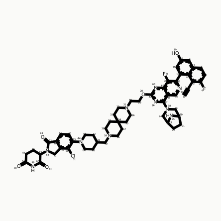 C#Cc1c(F)ccc2cc(O)cc(-c3ncc4c(N5CC6CCC(C5)N6)nc(OCCN5CCC6(CC5)CCN(CC5CCN(c7ccc8c(c7Cl)CN(C7CCC(=O)NC7=O)C8=O)CC5)CC6)nc4c3F)c12